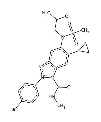 CNC(=O)c1c2cc(C3CC3)c(N(CC(C)O)S(C)(=O)=O)cc2nn1-c1ccc(Br)cc1